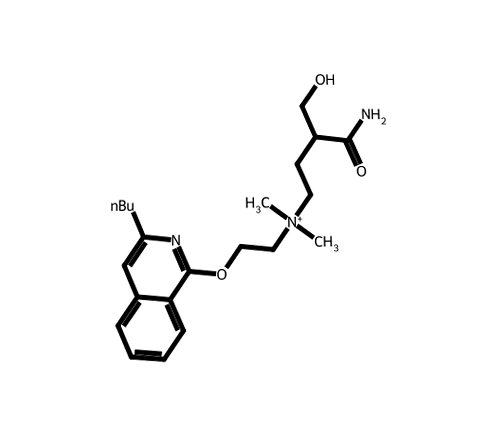 CCCCc1cc2ccccc2c(OCC[N+](C)(C)CCC(CO)C(N)=O)n1